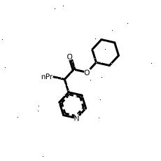 CCCC(C(=O)OC1CCCCC1)c1ccncc1